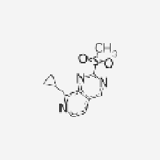 CS(=O)(=O)c1ncc2ccnc(C3CC3)c2n1